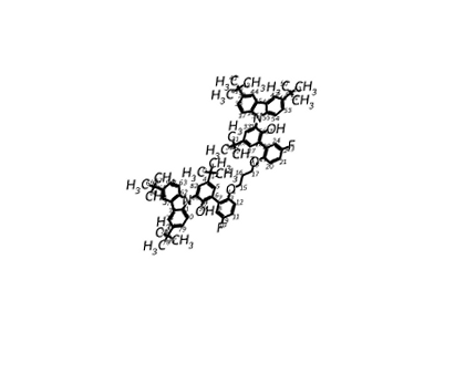 CC(C)(C)c1cc(-c2cc(F)ccc2OCCCOc2ccc(F)cc2-c2cc(C(C)(C)C)cc(-n3c4ccc(C(C)(C)C)cc4c4cc(C(C)(C)C)ccc43)c2O)c(O)c(-n2c3ccc(C(C)(C)C)cc3c3cc(C(C)(C)C)ccc32)c1